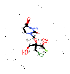 C[C@@H](OC(CO)(CCl)[C@@H](O)F)n1ccc(=O)[nH]c1=O